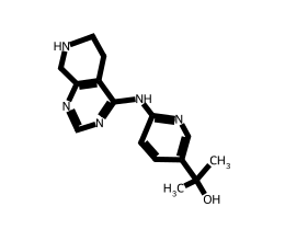 CC(C)(O)c1ccc(Nc2ncnc3c2CCNC3)nc1